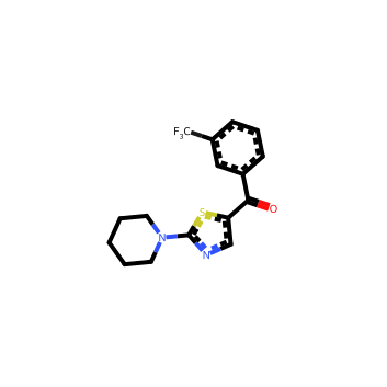 O=C(c1cccc(C(F)(F)F)c1)c1cnc(N2CCCCC2)s1